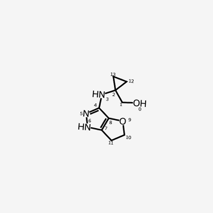 OCC1(Nc2n[nH]c3c2OCC3)CC1